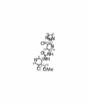 COC(C)c1c(Cl)cncc1NC(=O)Nc1cnc(-n2nccn2)c(Cl)c1